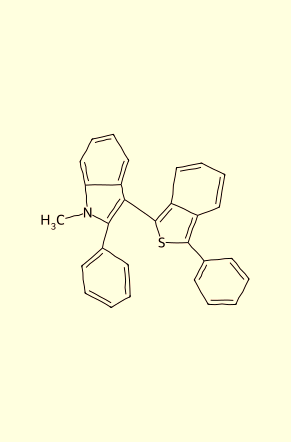 Cn1c(-c2ccccc2)c(-c2sc(-c3ccccc3)c3ccccc23)c2ccccc21